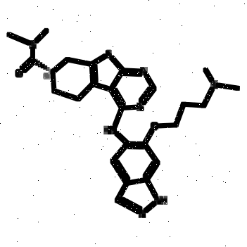 CN(C)CCCOc1cc2[nH]ncc2cc1Nc1ncnc2sc3c(c12)CC[C@H](C(=O)N(C)C)C3